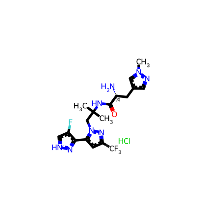 Cl.Cn1cc(C[C@@H](N)C(=O)NC(C)(C)Cn2nc(C(F)(F)F)cc2-c2n[nH]cc2F)cn1